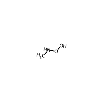 CNOO